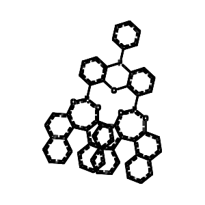 c1ccc(P2c3cccc(-p4oc5ccc6ccccc6c5c5c(ccc6ccccc65)o4)c3Oc3c2cccc3-p2oc3ccc4ccccc4c3c3c(ccc4ccccc43)o2)cc1